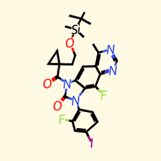 Cc1ncnc2c(F)c3c(cc12)n(C(=O)C1(CCO[Si](C)(C)C(C)(C)C)CC1)c(=O)n3-c1ccc(I)cc1F